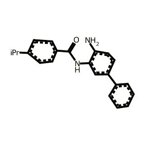 CC(C)c1ccc(C(=O)Nc2cc(-c3ccccc3)ccc2N)cc1